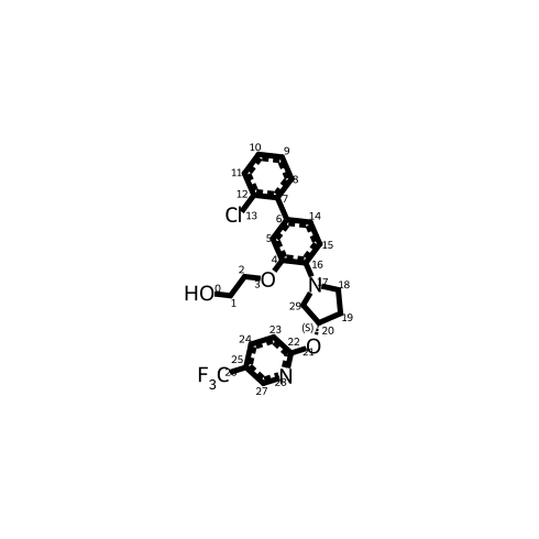 OCCOc1cc(-c2ccccc2Cl)ccc1N1CC[C@H](Oc2ccc(C(F)(F)F)cn2)C1